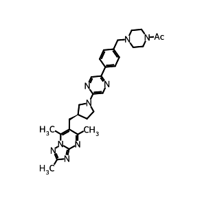 CC(=O)N1CCN(Cc2ccc(-c3cnc(N4CC[C@@H](Cc5c(C)nc6nc(C)nn6c5C)C4)cn3)cc2)CC1